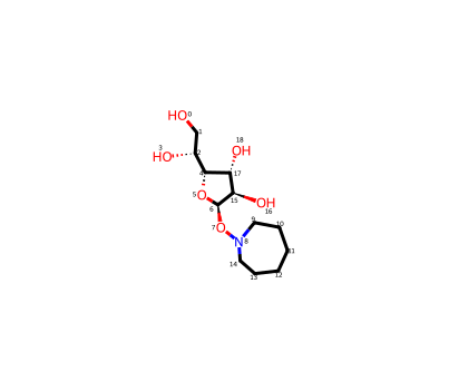 OC[C@@H](O)[C@H]1O[C@H](ON2CCCCCC2)[C@H](O)[C@H]1O